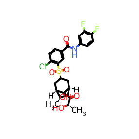 C[C@H](O)C(=O)[C@@]1(O)[C@H]2C[C@@H](S(=O)(=O)c3cc(C(=O)Nc4ccc(F)c(F)c4)ccc3Cl)C[C@@H]1[C@@H](C)C2